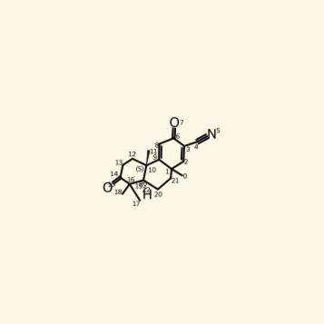 CC12C=C(C#N)C(=O)C=C1[C@@]1(C)CCC(=O)C(C)(C)[C@@H]1CC2